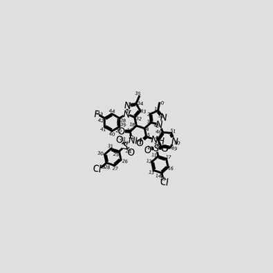 Cc1cc(C(C(=O)NS(=O)(=O)c2ccc(Cl)cc2)C(C(=O)NS(=O)(=O)c2ccc(Cl)cc2)c2cc(C)nn2-c2cccc(F)c2)n(-c2cccnc2)n1